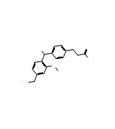 COc1cc(CN)ccc1C(O)c1ccc(CCC(=O)O)cc1